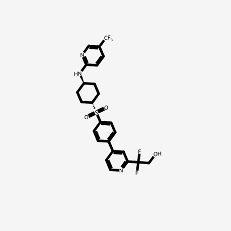 O=S(=O)(c1ccc(-c2ccnc(C(F)(F)CO)c2)cc1)[C@H]1CC[C@H](Nc2ccc(C(F)(F)F)cn2)CC1